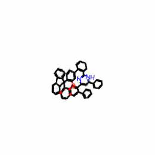 C1=CC2c3ccccc3C3(c4ccccc4Oc4cc(C5=C(C6=NC(c7ccccc7-c7ccccc7)=CC(c7ccccc7)N6)CCC=C5)ccc43)C2C=C1